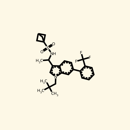 CC(NS(=O)(=O)C12CC(C1)C2)c1cn(CC(C)(C)C)c2cc(-c3ccccc3C(F)(F)F)ccc12